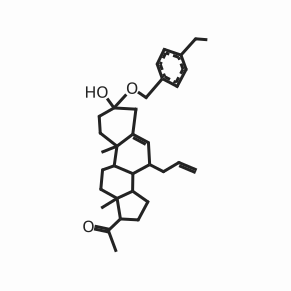 C=CCC1C=C2CC(O)(OCc3ccc(CC)cc3)CCC2(C)C2CCC3(C)C(C(C)=O)CCC3C12